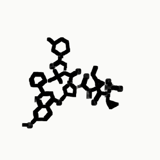 C=CC1CC1(NC(=O)[C@@H]1C[C@@H](Oc2cc(-c3ccccc3)nc3cc(OC)ccc23)CN1C(=O)[C@@H](CC(=O)N1CCCC(C)C1)C(C)(C)C)C(=O)N(C1CC1)[SH](=O)=O